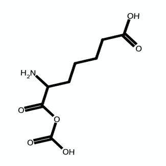 NC(CCCCC(=O)O)C(=O)OC(=O)O